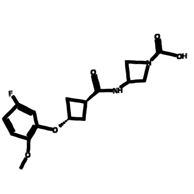 COc1ccc(F)cc1O[C@H]1C[C@H](C(=O)NC2CN(C(=O)O)C2)C1